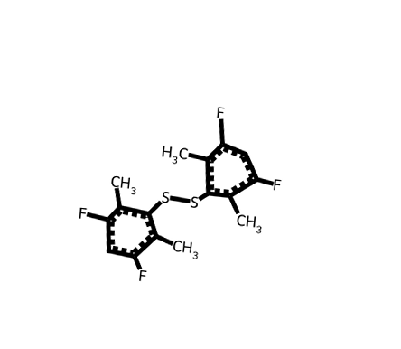 Cc1c(F)cc(F)c(C)c1SSc1c(C)c(F)cc(F)c1C